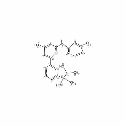 Cc1cc(Nc2nccc(C(F)(F)F)n2)cc(-c2cncc(C(C)(O)C(C)O)c2)c1